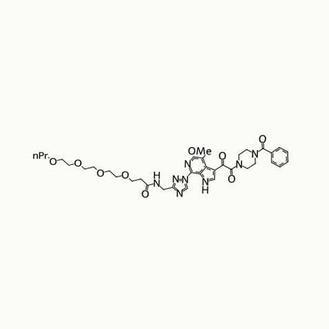 CCCOCCOCCOCCOCCC(=O)NCc1ncn(-c2ncc(OC)c3c(C(=O)C(=O)N4CCN(C(=O)c5ccccc5)CC4)c[nH]c23)n1